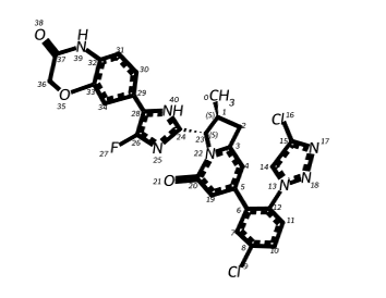 C[C@H]1Cc2cc(-c3cc(Cl)ccc3-n3cc(Cl)nn3)cc(=O)n2[C@@H]1c1nc(F)c(-c2ccc3c(c2)OCC(=O)N3)[nH]1